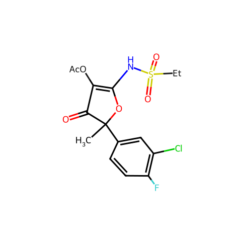 CCS(=O)(=O)NC1=C(OC(C)=O)C(=O)C(C)(c2ccc(F)c(Cl)c2)O1